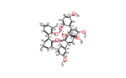 COc1ccc2op(Oc3c(C)cc(C)cc3-c3cc(C)cc(C)c3Op3c4ccc(OC)cc4c4cc(OC)ccc43)oc3ccc(OC)cc3c2c1